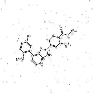 COc1ccc(F)cc1-c1ccnc2[nH]c(C3=CC(C)N(C(=O)OC(C)(C)C)CC3)cc12